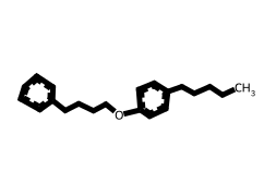 CCCCCc1ccc(OCCCCc2ccccc2)cc1